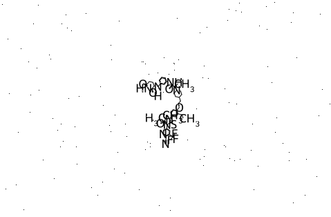 CCc1cc(N2C(=S)N(c3cnc(C#N)c(C(F)(F)F)c3)C(=O)C2(C)C)ccc1OCCC1CCN(C(C)C(=O)Nc2cccc(N[C@H]3CCC(=O)NC3=O)c2)CC1